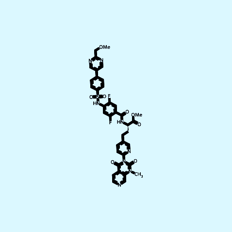 COCc1ncc(-c2ccc(S(=O)(=O)Nc3cc(F)c(C(=O)N[C@@H](CCc4ccc(-n5c(=O)c6ccncc6n(C)c5=O)nc4)C(=O)OC)cc3F)cc2)cn1